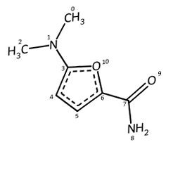 CN(C)c1ccc(C(N)=O)o1